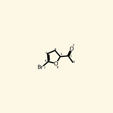 CC(=O)C1CC=C(Br)O1